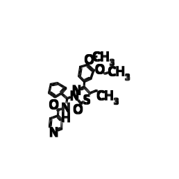 CCOc1cc(C2=NN(C(NC(=O)c3ccncc3)c3ccccc3)C(=O)SC2CC)ccc1OC